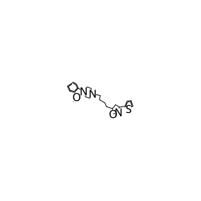 COc1ccccc1N1CCN(CCCCC2CC(c3cccs3)=NO2)CC1